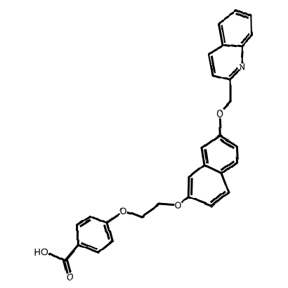 O=C(O)c1ccc(OCCOc2ccc3ccc(OCc4ccc5ccccc5n4)cc3c2)cc1